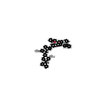 Cc1ccc(C)c(N(c2ccc3ccc4c(N(c5cc(C)c(-c6ccc7c(c6)c6ccccc6c6c7nc(-c7ccc(-c8cccc(-n9c(-c%10ccc(C(C)(C)C)cc%10)nc%10c%11ccccc%11c%11ccccc%11c%109)c8)cc7)n6-c6ccc(C(C)(C)C)cc6)cc5C)c5cccc6c5oc5ccccc56)ccc5ccc2c3c54)c2cccc3c2oc2ccccc23)c1